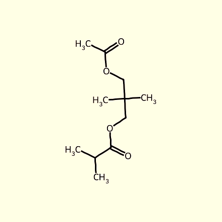 CC(=O)OCC(C)(C)COC(=O)C(C)C